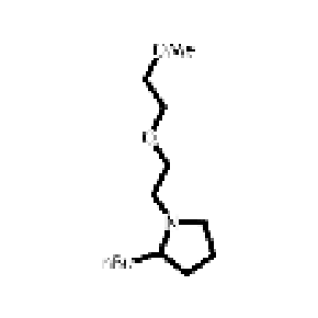 CCCCC1CCCN1CCOCCOC